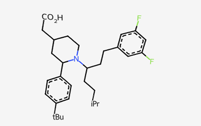 CC(C)CCC(CCc1cc(F)cc(F)c1)N1CCC(CC(=O)O)CC1c1ccc(C(C)(C)C)cc1